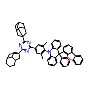 Cc1cc(-c2nc(C34CC5CC(CC(C5)C3)C4)nc(C34CC5CCCC(C3)C5C4)n2)cc(C)c1N1c2ccccc2C(c2ccccc2)(c2cccc3c2oc2ccccc23)c2ccccc21